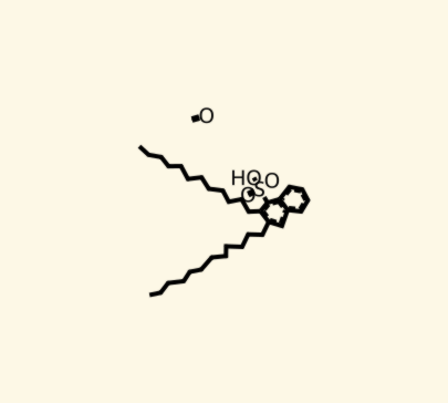 C=O.CCCCCCCCCCCCc1cc2ccccc2c(S(=O)(=O)O)c1CCCCCCCCCCCC